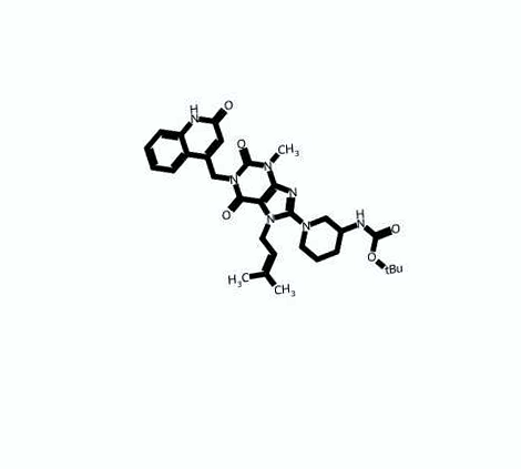 CC(C)=CCn1c(N2CCCC(NC(=O)OC(C)(C)C)C2)nc2c1c(=O)n(Cc1cc(=O)[nH]c3ccccc13)c(=O)n2C